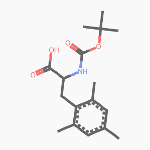 Cc1cc(C)c(CC(NC(=O)OC(C)(C)C)C(=O)O)c(C)c1